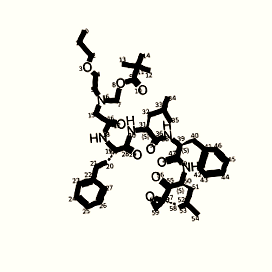 CCCOCCN(COC(=O)C(C)(C)C)CC(=O)N[C@@H](CCc1ccccc1)C(=O)N[C@@H](CC(C)C)C(=O)N[C@@H](Cc1ccccc1)C(=O)N[C@@H](CC(C)C)C(=O)[C@@]1(C)CO1